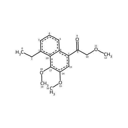 CCc1cccc2c(C(=O)COC)cc(OC)c(OC)c12